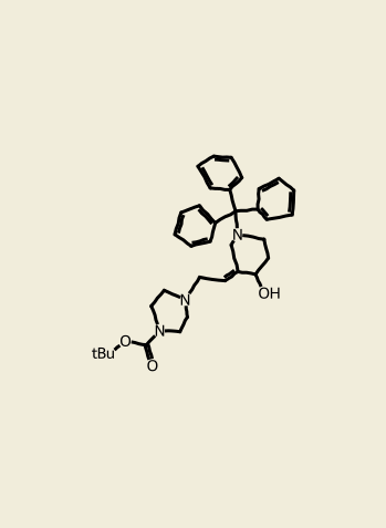 CC(C)(C)OC(=O)N1CCN(C/C=C2\CN(C(c3ccccc3)(c3ccccc3)c3ccccc3)CCC2O)CC1